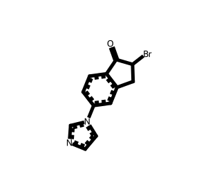 O=C1c2ccc(-n3ccnc3)cc2CC1Br